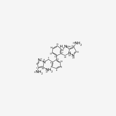 Nc1cnn(Cc2ccccc2-c2ccccc2Cn2ncc(N)c2N)c1N